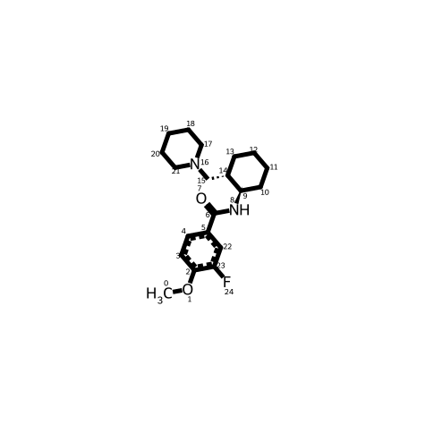 COc1ccc(C(=O)N[C@@H]2CCCC[C@H]2CN2CCCCC2)cc1F